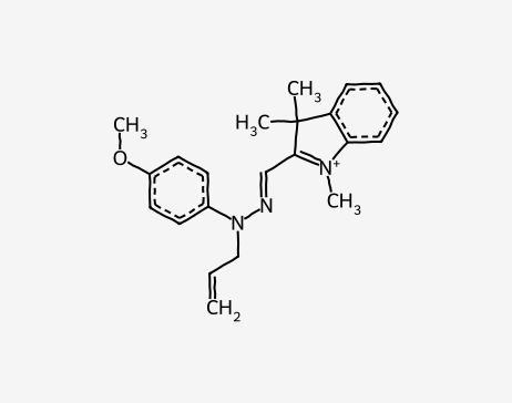 C=CCN(/N=C/C1=[N+](C)c2ccccc2C1(C)C)c1ccc(OC)cc1